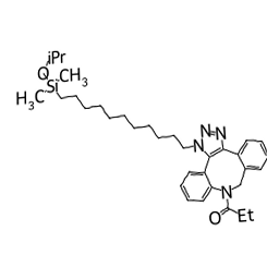 CCC(=O)N1Cc2ccccc2-c2nnn(CCCCCCCCCCC[Si](C)(C)OC(C)C)c2-c2ccccc21